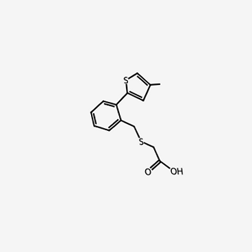 Cc1csc(-c2ccccc2CSCC(=O)O)c1